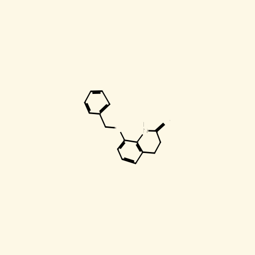 O=C1CCc2[c]ccc(OCc3ccccc3)c2N1